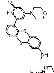 CN1CCC[C@H]1CNc1ccc2c(c1)Sc1cccc(-c3cc(N4CCOCC4)cc(=O)[nH]3)c1S2